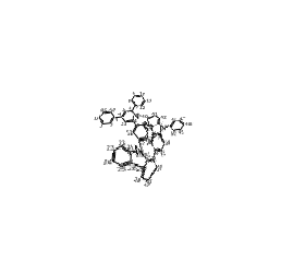 c1ccc(-c2cc(-c3ccccc3)nc(-c3cccc(-n4c5ccccc5c5cccc(-c6ccc7c(c6)c6ncccc6n7-c6ccccc6)c54)c3)c2)cc1